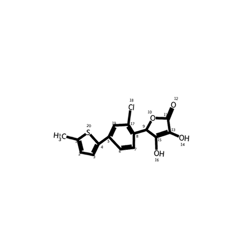 Cc1ccc(-c2ccc(C3OC(=O)C(O)=C3O)c(Cl)c2)s1